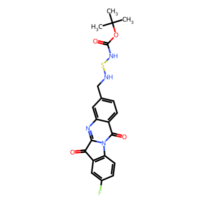 CC(C)(C)OC(=O)NSNCc1ccc2c(=O)n3c(nc2c1)C(=O)c1cc(F)ccc1-3